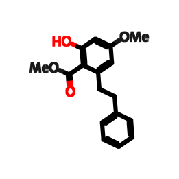 COC(=O)c1c(O)cc(OC)cc1CCc1ccccc1